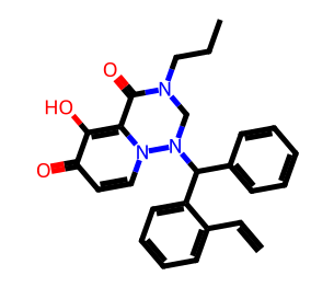 C=Cc1ccccc1C(c1ccccc1)N1CN(CCC)C(=O)c2c(O)c(=O)ccn21